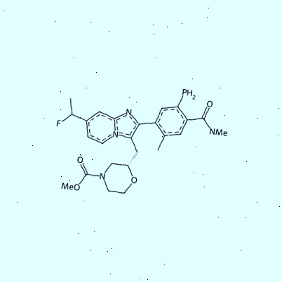 CNC(=O)c1cc(C)c(-c2nc3cc(C(C)F)ccn3c2C[C@H]2CN(C(=O)OC)CCO2)cc1P